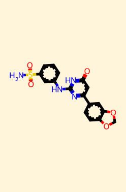 NS(=O)(=O)c1cccc(Nc2nc(-c3ccc4c(c3)OCO4)cc(=O)[nH]2)c1